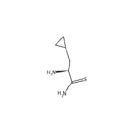 NC(=S)[C@@H](N)CC1CC1